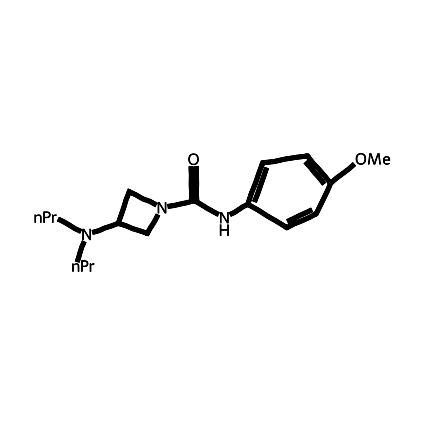 CCCN(CCC)C1CN(C(=O)Nc2ccc(OC)cc2)C1